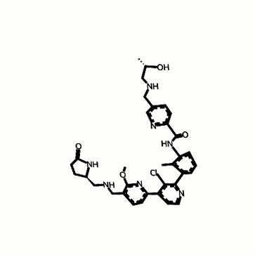 COc1nc(-c2ccnc(-c3cccc(NC(=O)c4ccc(CNC[C@H](C)O)cn4)c3C)c2Cl)ccc1CNC[C@H]1CCC(=O)N1